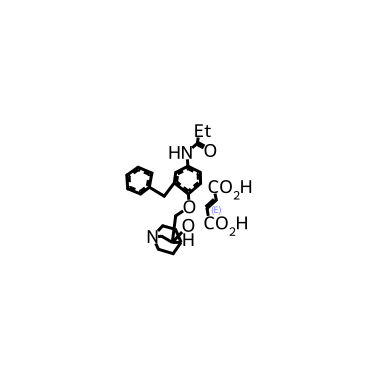 CCC(=O)Nc1ccc(OCC2(O)CN3CCC2CC3)c(Cc2ccccc2)c1.O=C(O)/C=C/C(=O)O